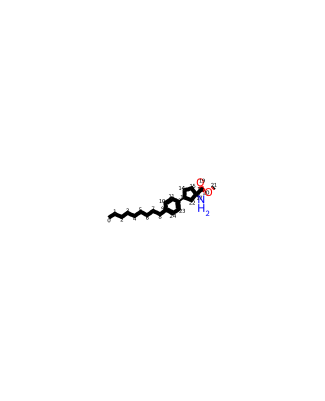 CCCCCCCCCc1ccc([C@H]2CC[C@](N)(C(=O)OC)C2)cc1